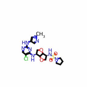 Cn1cc(Nc2ncc(Cl)c(N[C@H]3COC4C3OC[C@H]4NS(=O)(=O)N3CCCC3)n2)cn1